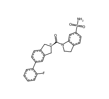 NS(=O)(=O)c1ccc2c(c1)N(C(=O)[C@@H]1Cc3ccc(-c4ccccc4F)cc3C1)CC2